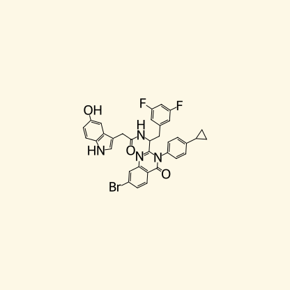 O=C(Cc1c[nH]c2ccc(O)cc12)NC(Cc1cc(F)cc(F)c1)c1nc2cc(Br)ccc2c(=O)n1-c1ccc(C2CC2)cc1